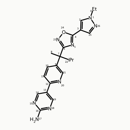 CCn1cc(-c2nc(C(C)(c3ccc(-c4cnc(N)nc4)nc3)C(C)C)no2)cn1